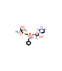 CC(C)(CO)C(=O)SCCOP(=O)(NCc1ccccc1)OC[C@H]1O[C@@H](n2ccc(=O)[nH]c2=O)[C@H](O)[C@@H]1CF